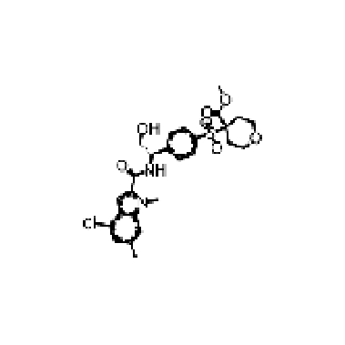 COC(=O)C1(S(=O)(=O)c2ccc([C@@H](CO)NC(=O)c3cc4c(Cl)cc(C)cc4n3C)cc2)CCOCC1